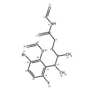 CC(CCC(=O)NC=O)N(C)c1c(F)ccc(Br)c1OC=O